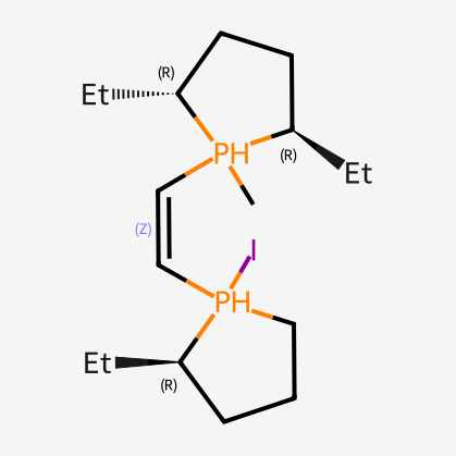 CC[C@@H]1CCC[PH]1(I)/C=C\[PH]1(C)[C@H](CC)CC[C@H]1CC